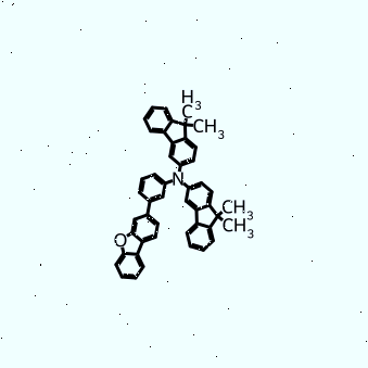 CC1(C)c2ccccc2-c2cc(N(c3cccc(-c4ccc5c(c4)oc4ccccc45)c3)c3ccc4c(c3)-c3ccccc3C4(C)C)ccc21